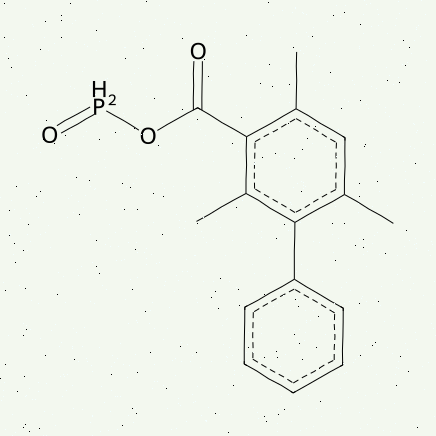 Cc1cc(C)c(-c2ccccc2)c(C)c1C(=O)O[PH2]=O